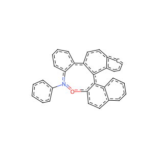 c1ccc(-n2oc3ccc4ccccc4c3c3c4ccccc4ccc3c3ccccc32)cc1